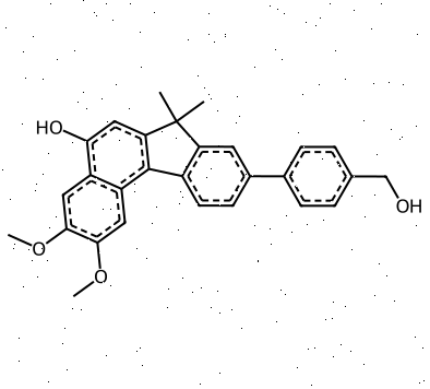 COc1cc2c(O)cc3c(c2cc1OC)-c1ccc(-c2ccc(CO)cc2)cc1C3(C)C